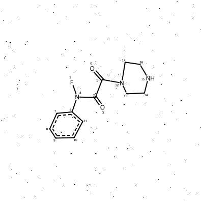 O=C(C(=O)N(F)c1ccccc1)N1CCNCC1